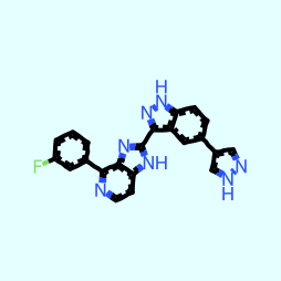 Fc1cccc(-c2nccc3[nH]c(-c4n[nH]c5ccc(-c6cn[nH]c6)cc45)nc23)c1